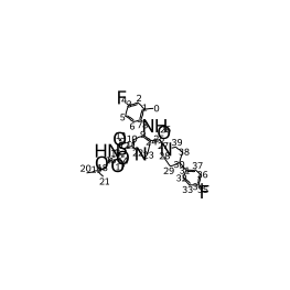 Cc1cc(F)ccc1Nc1cc(S(=O)(=O)NC(=O)OC(C)C)ncc1C(=O)N1CCC(c2ccc(F)cc2)CC1